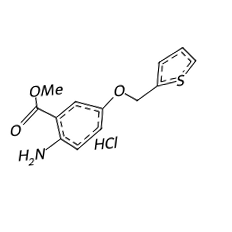 COC(=O)c1cc(OCc2cccs2)ccc1N.Cl